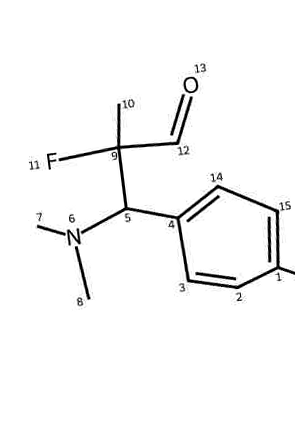 Cc1ccc(C(N(C)C)C(C)(F)C=O)cc1